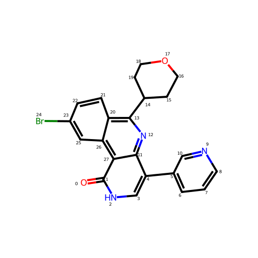 O=c1[nH]cc(-c2cccnc2)c2nc(C3CCOCC3)c3ccc(Br)cc3c12